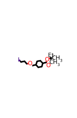 CCC(C)(C)OC(=O)C1CCC(COCCCI)CC1